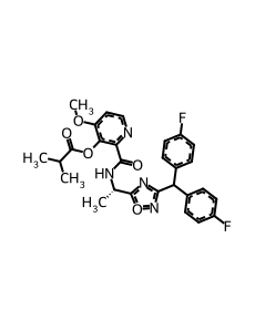 COc1ccnc(C(=O)N[C@@H](C)c2nc(C(c3ccc(F)cc3)c3ccc(F)cc3)no2)c1OC(=O)C(C)C